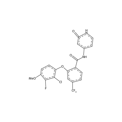 COc1ccc(Oc2cc(C(F)(F)F)ccc2C(=O)Nc2cc[nH]c(=O)c2)c(Cl)c1F